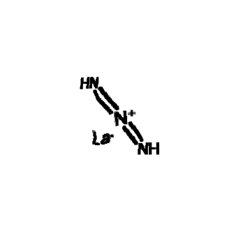 N=[N+]=N.[La]